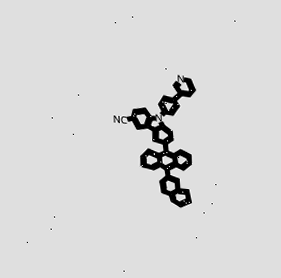 N#Cc1ccc2c(c1)c1cc(-c3c4ccccc4c(-c4ccc5ccccc5c4)c4ccccc34)ccc1n2-c1ccc(-c2cccnc2)cc1